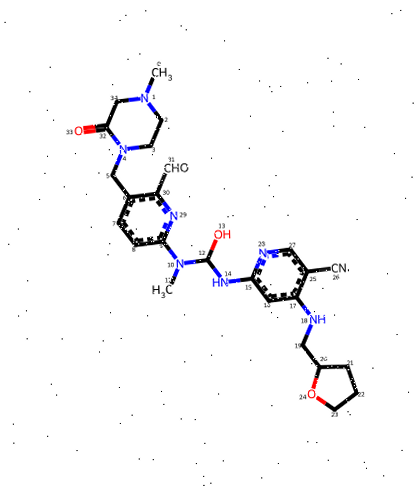 CN1CCN(Cc2ccc(N(C)C(O)Nc3cc(NCC4CCCO4)c(C#N)cn3)nc2C=O)C(=O)C1